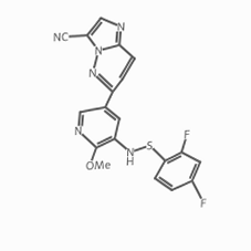 COc1ncc(-c2ccc3ncc(C#N)n3n2)cc1NSc1ccc(F)cc1F